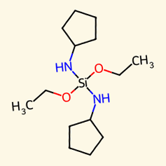 CCO[Si](NC1CCCC1)(NC1CCCC1)OCC